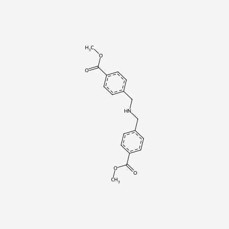 COC(=O)c1ccc(CNCc2ccc(C(=O)OC)cc2)cc1